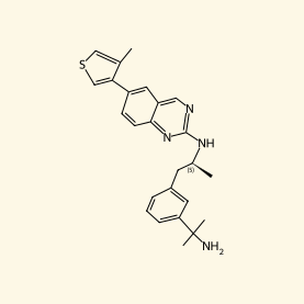 Cc1cscc1-c1ccc2nc(N[C@@H](C)Cc3cccc(C(C)(C)N)c3)ncc2c1